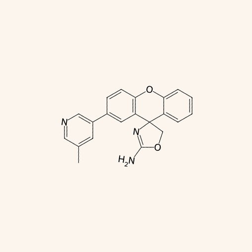 Cc1cncc(-c2ccc3c(c2)C2(COC(N)=N2)c2ccccc2O3)c1